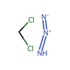 ClCCl.[N-]=[N+]=N